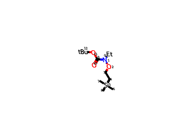 CCN(OCC[Si](C)(C)C)C(=O)OC(C)(C)C